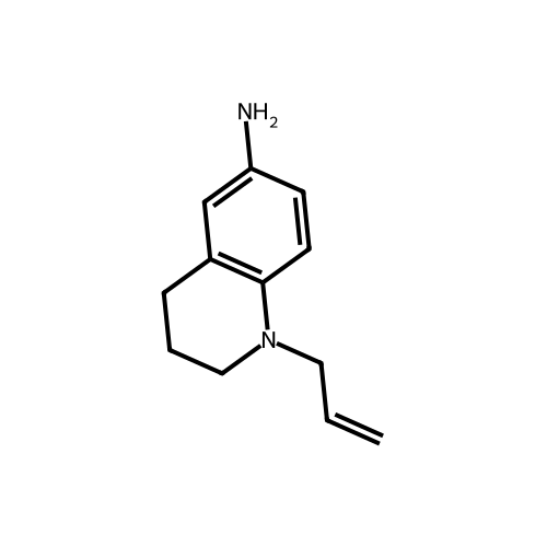 C=CCN1CCCc2cc(N)ccc21